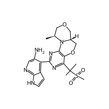 C[C@H]1COC[C@@H]2COc3c(nc(-c4c(N)cnc5[nH]ccc45)nc3C(C)(C)S(C)(=O)=O)N21